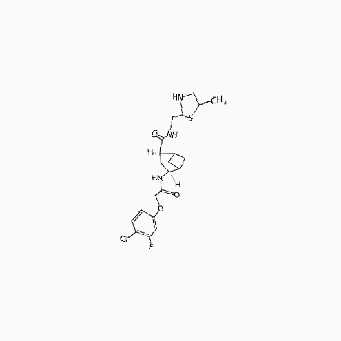 CC1CNC(CNC(=O)[C@@H]2C[C@H](NC(=O)COc3ccc(Cl)c(F)c3)C3CC2C3)S1